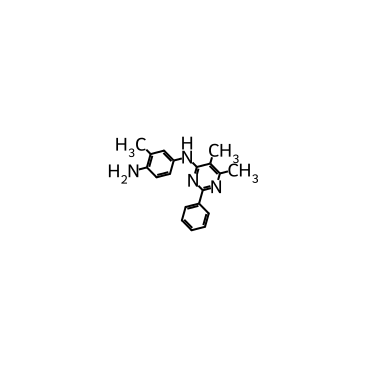 Cc1cc(Nc2nc(-c3ccccc3)nc(C)c2C)ccc1N